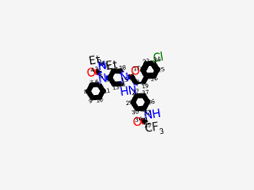 CCN(CC)C(=O)N(C1CCCCC1)C1CCN(C(=O)[C@@H](Cc2ccc(Cl)cc2)N[C@H]2CC[C@@H](NC(=O)C(F)(F)F)CC2)CC1